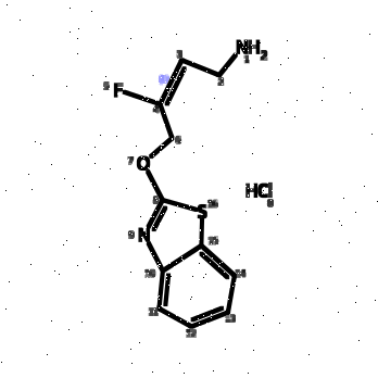 Cl.NC/C=C(/F)COc1nc2ccccc2s1